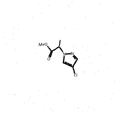 COC(=O)C(C)n1cc(Cl)cn1